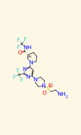 NCCS(=O)(=O)N1CCN(c2cc(N3CCC[C@@H](C(=O)NC(F)(F)F)C3)nc(C(F)(F)F)n2)CC1